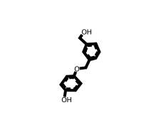 OCc1cccc(COc2ccc(O)cc2)c1